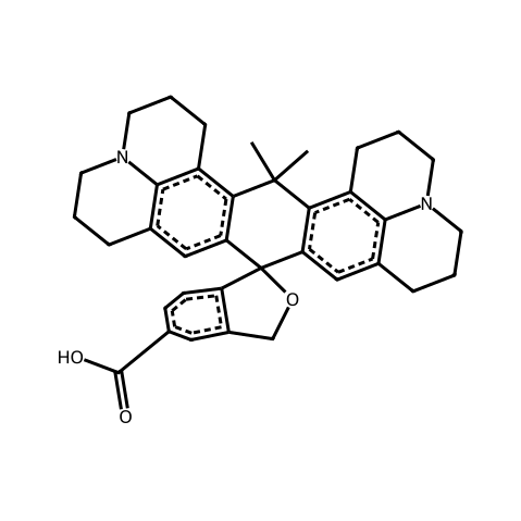 CC1(C)c2c(cc3c4c2CCCN4CCC3)C2(OCc3cc(C(=O)O)ccc32)c2cc3c4c(c21)CCCN4CCC3